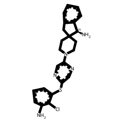 Nc1cccc(Sc2cnc(N3CCC4(CC3)Cc3ccccc3[C@H]4N)cn2)c1Cl